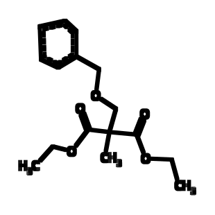 CCOC(=O)C(C)(COCc1ccccc1)C(=O)OCC